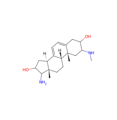 CNC1C[C@@]2(C)C(=CC=C3[C@H]2CC[C@]2(C)C(N)C(O)C[C@@H]32)CC1O